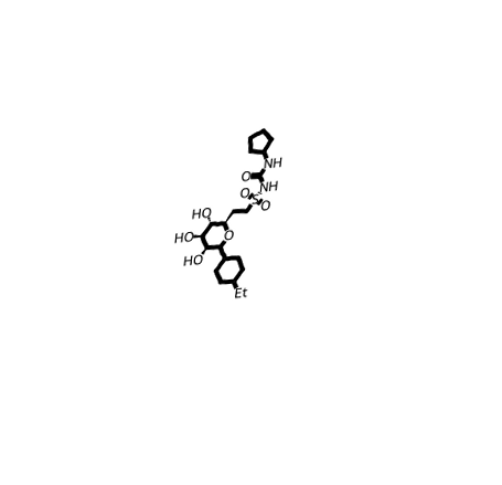 CCC1CCC(C2O[C@H](CCS(=O)(=O)NC(=O)NC3CCCC3)[C@@H](O)[C@H](O)[C@@H]2O)CC1